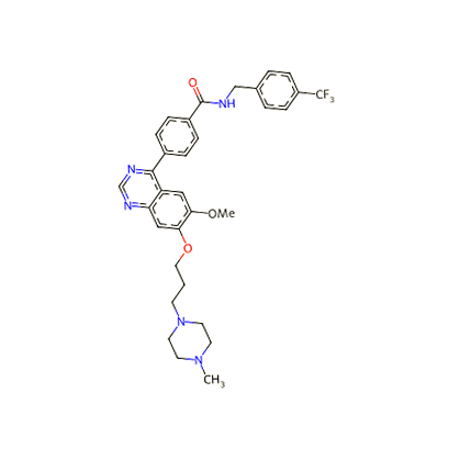 COc1cc2c(-c3ccc(C(=O)NCc4ccc(C(F)(F)F)cc4)cc3)ncnc2cc1OCCCN1CCN(C)CC1